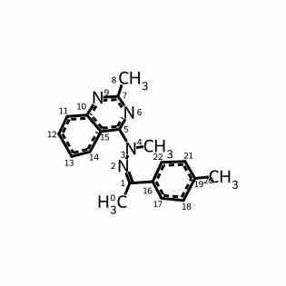 CC(=NN(C)c1nc(C)nc2ccccc12)c1ccc(C)cc1